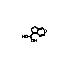 OC(O)C1=C2C=COC=C2CC1